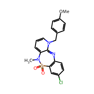 COc1ccc(CN2C=CC=C3C2=Nc2ccc(Cl)cc2S(=O)(=O)N3C)cc1